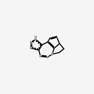 C1=CC2CCN3N=Nc4nn[nH]c4C1=C23